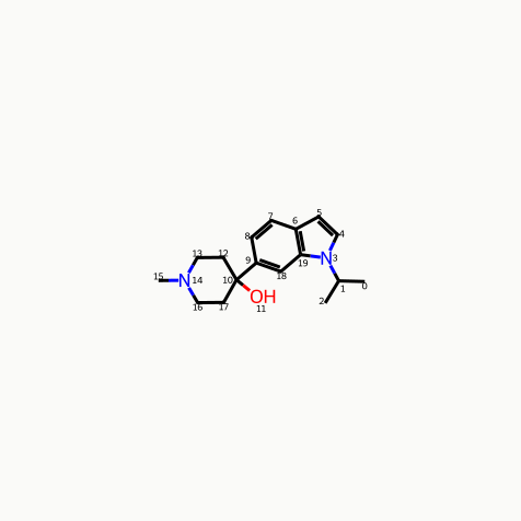 CC(C)n1ccc2ccc(C3(O)CCN(C)CC3)cc21